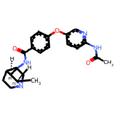 CC(=O)Nc1ccc(Oc2ccc(C(=O)N[C@@H]3C4CCN(CC4)[C@H]3C)cc2)cn1